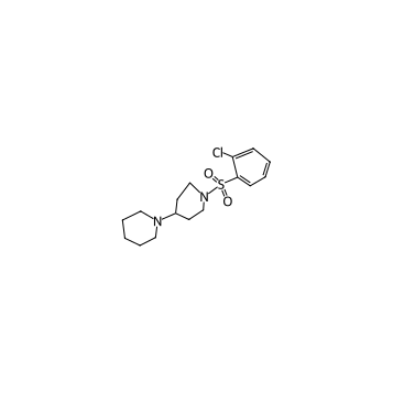 O=S(=O)(c1ccccc1Cl)N1CCC(N2CCCCC2)CC1